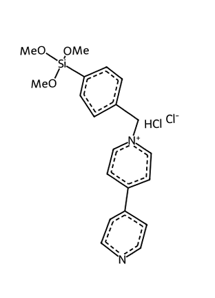 CO[Si](OC)(OC)c1ccc(C[n+]2ccc(-c3ccncc3)cc2)cc1.Cl.[Cl-]